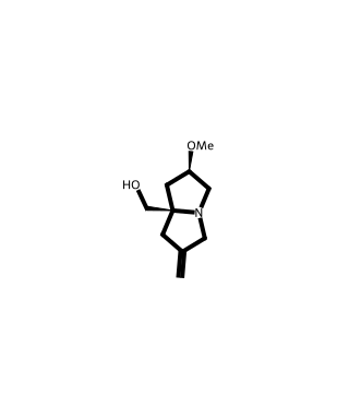 C=C1CN2C[C@H](OC)C[C@@]2(CO)C1